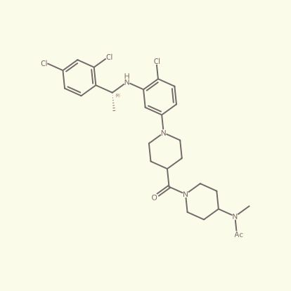 CC(=O)N(C)C1CCN(C(=O)C2CCN(c3ccc(Cl)c(N[C@H](C)c4ccc(Cl)cc4Cl)c3)CC2)CC1